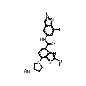 CN[C@H]1CCN(c2ccc(C(=O)Nc3cc(F)c4nn(C)cc4c3)c3nc(OC)sc23)C1